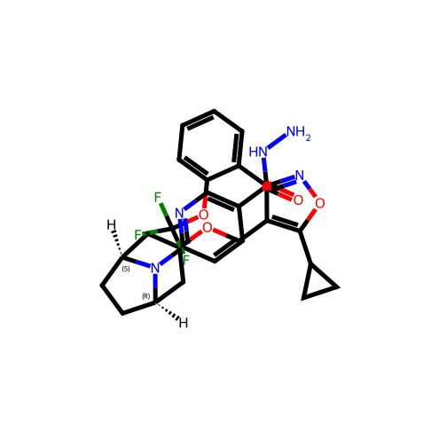 NNC(=O)c1ccc(N2[C@@H]3CC[C@H]2CC(OCc2c(-c4ccccc4OC(F)(F)F)noc2C2CC2)C3)nc1